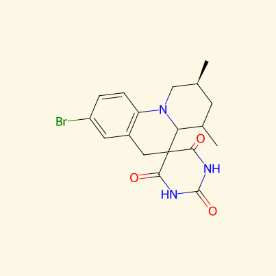 CC1C[C@H](C)CN2c3ccc(Br)cc3CC3(C(=O)NC(=O)NC3=O)C12